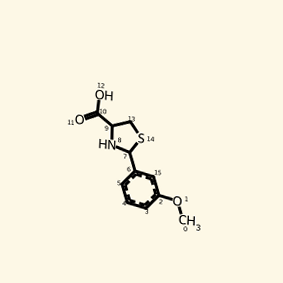 COc1cccc(C2NC(C(=O)O)CS2)c1